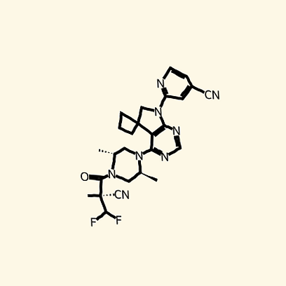 C[C@@H]1CN(c2ncnc3c2C2(CCC2)CN3c2cc(C#N)ccn2)[C@@H](C)CN1C(=O)[C@@](C)(C#N)C(F)F